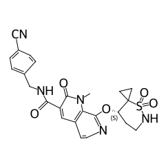 Cn1c(=O)c(C(=O)NCc2ccc(C#N)cc2)cc2ccnc(O[C@H]3CCNS(=O)(=O)C34CC4)c21